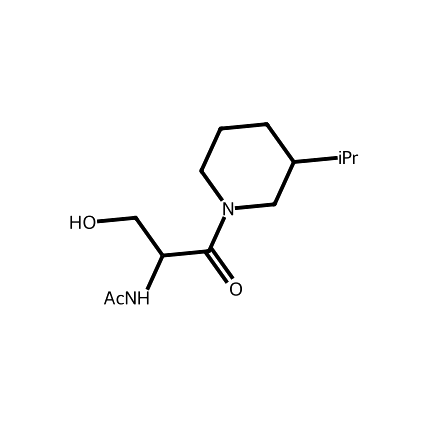 CC(=O)NC(CO)C(=O)N1CCCC(C(C)C)C1